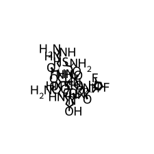 N=C(N)NCCC[C@H](NC(=O)C(CS)NC(=O)[C@H](CC(N)=O)NC(=O)C1CC(O)CN1C(=O)CNC(=O)[C@@H](Cc1cc(F)cc(F)c1)NC(=O)CNC(=O)[C@@H](CC(=O)O)NC(=O)[C@H](N)CS)C(=O)I